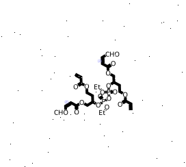 C=CC(=O)OCCC(COC(=O)/C=C\C=O)OP(=O)(OCC)OP(=O)(OCC)OC(CCOC(=O)C=C)COC(=O)/C=C\C=O